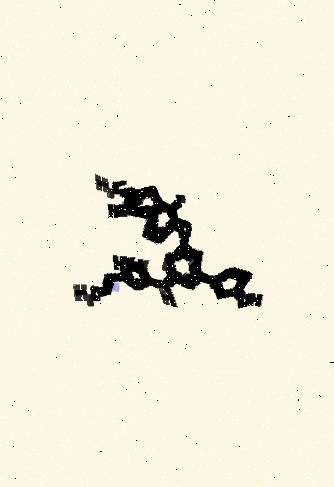 C/C=C/c1cc(Nc2cc(N3CCC(O)C3)nc(Oc3ccc4[nH]c(C)cc4c3F)n2)n[nH]1